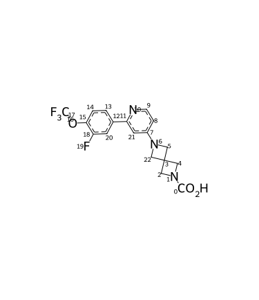 O=C(O)N1CC2(C1)CN(c1ccnc(-c3ccc(OC(F)(F)F)c(F)c3)c1)C2